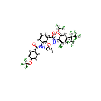 COc1c(NC(=O)c2ccc(OC(F)(F)F)cc2)cccc1C(=O)Nc1c(Br)cc(C(F)(C(F)(F)F)C(F)(F)F)cc1OC(F)F